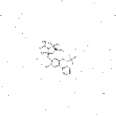 CC(C)C[C@](C)(Oc1cc2c(cc1Br)-c1ccncc1C(C(F)(F)F)O2)N(C(=O)O)C(C)(C)C